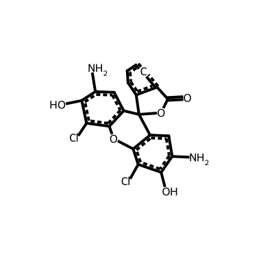 Nc1cc2c(c(Cl)c1O)Oc1c(cc(N)c(O)c1Cl)C21OC(=O)c2ccccc21